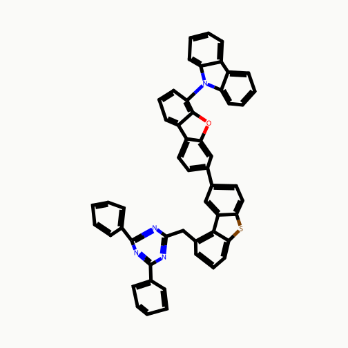 c1ccc(-c2nc(Cc3cccc4sc5ccc(-c6ccc7c(c6)oc6c(-n8c9ccccc9c9ccccc98)cccc67)cc5c34)nc(-c3ccccc3)n2)cc1